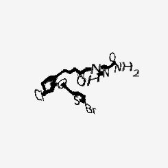 NC(=O)c1cn(C[C@@H](O)CCCc2ccc(Cl)cc2OCc2ccc(Br)s2)cn1